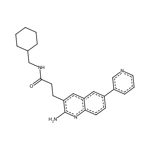 Nc1nc2ccc(-c3cccnc3)cc2cc1CCC(=O)NCC1CCCCC1